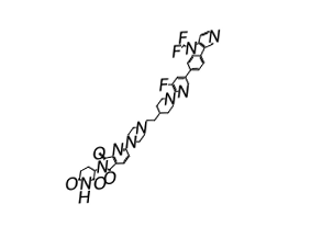 O=C1CCC(N2C(=O)c3ccc(N4CCN(CCC5CCN(c6ncc(-c7ccc8c9cnccc9n(C(F)F)c8c7)cc6F)CC5)CC4)nc3C2=O)C(=O)N1